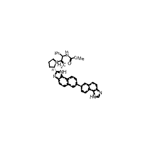 C=C(C(NC(=O)OC)C(C)C)N1CCC[C@H]1c1nc2ccc3cc(-c4ccc5c(ccc6nc[nH]c65)c4)ccc3c2[nH]1